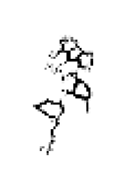 COCCN1CCC[C@@H](Oc2cc(F)ccc2Nc2ncnc3sc(C(N)=O)c(C)c23)C1